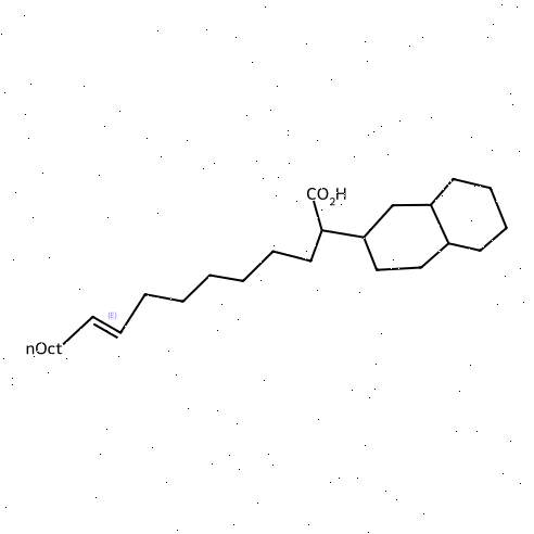 CCCCCCCC/C=C/CCCCCCC(C(=O)O)C1CCC2CCCCC2C1